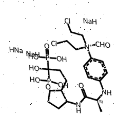 C[C@H](Nc1ccc([N+](C=O)(CCCl)CCCl)cc1)C(=O)NC1CCCC1CCC(O)(P(=O)(O)O)P(=O)(O)O.[NaH].[NaH].[NaH]